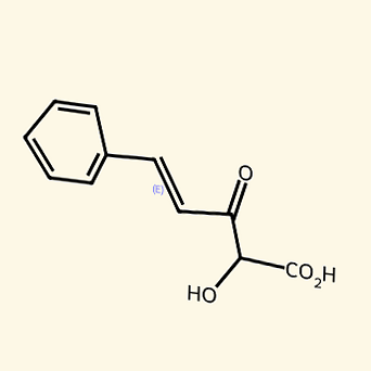 O=C(O)C(O)C(=O)/C=C/c1ccccc1